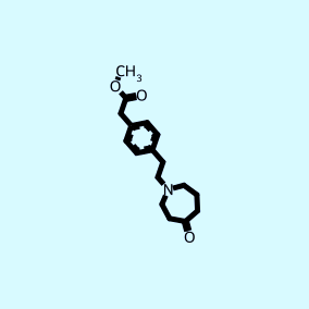 COC(=O)Cc1ccc(CCN2CCCC(=O)CC2)cc1